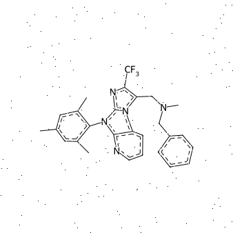 Cc1cc(C)c(-n2c3ncccc3n3c(CN(C)Cc4ccccc4)c(C(F)(F)F)nc23)c(C)c1